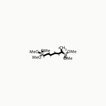 CO[SiH](OC)C(C)CCCCC[Si](OC)(OC)OC